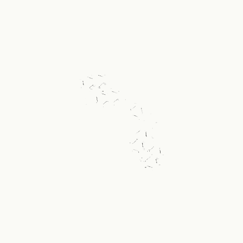 CC(C)Oc1ccc2cc(CCc3ccc(CC(C)(C)Cc4ccc5ccc(O)c(-c6c(O)ccc7ccccc67)c5c4)cc3)ccc2c1-c1c(O)ccc2ccccc12